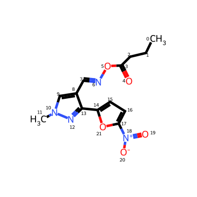 CCCC(=O)O/N=C/c1cn(C)nc1-c1ccc([N+](=O)[O-])o1